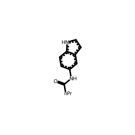 CCCC(=O)Nc1ccc2[nH]ccc2c1